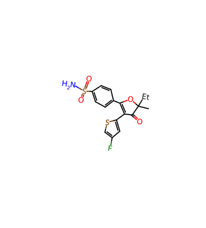 CCC1(C)OC(c2ccc(S(N)(=O)=O)cc2)=C(c2cc(F)cs2)C1=O